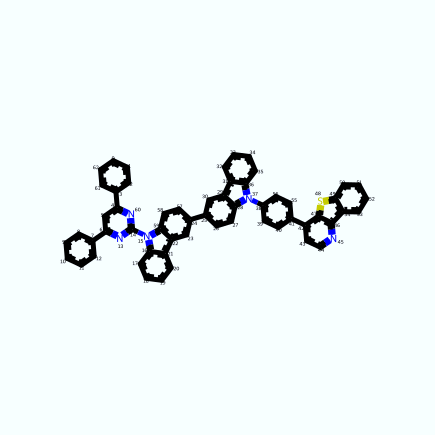 c1ccc(-c2cc(-c3ccccc3)nc(-n3c4ccccc4c4cc(-c5ccc6c(c5)c5ccccc5n6-c5ccc(-c6ccnc7c6sc6ccccc67)cc5)ccc43)n2)cc1